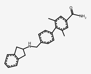 Cc1cc(C(N)=O)cc(C)c1-c1ccc(CNC2Cc3ccccc3C2)cc1